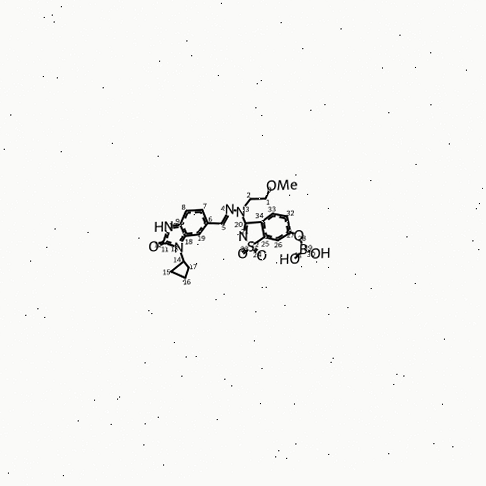 COCCN(/N=C/c1ccc2[nH]c(=O)n(C3CCC3)c2c1)C1=NS(=O)(=O)c2cc(OB(O)O)ccc21